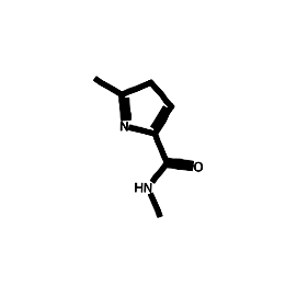 CNC(=O)C1=CCC(C)=N1